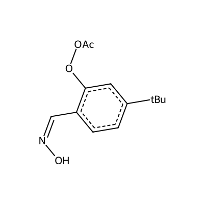 CC(=O)OOc1cc(C(C)(C)C)ccc1/C=N\O